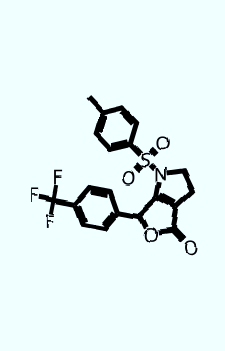 Cc1ccc(S(=O)(=O)N2CCC3=C2C(c2ccc(C(F)(F)F)cc2)OC3=O)cc1